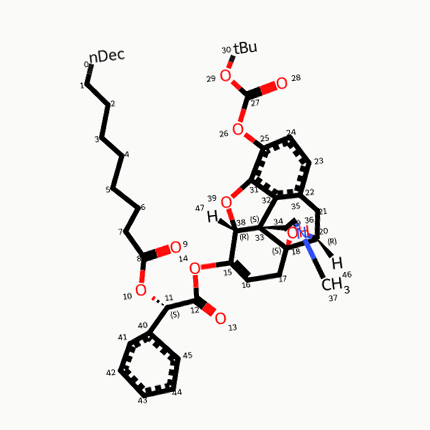 CCCCCCCCCCCCCCCCCC(=O)O[C@H](C(=O)OC1=CC[C@@]2(O)[C@H]3Cc4ccc(OC(=O)OC(C)(C)C)c5c4[C@@]2(CCN3C)[C@H]1O5)c1ccccc1